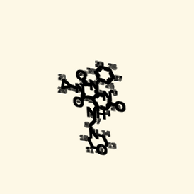 Cn1c(=O)cc(NCCN2CCOCC2)c2c(=O)n(C3CC3)c(=O)n(-c3ccccc3)c21